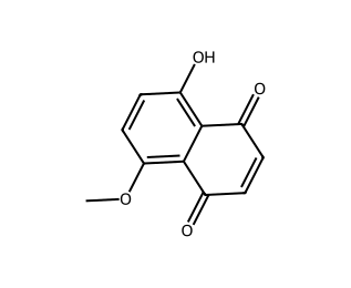 COc1ccc(O)c2c1C(=O)C=CC2=O